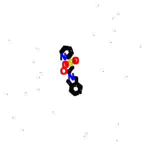 O=C(CS(=O)(=O)c1ccccn1)N1Cc2ccccc2C1